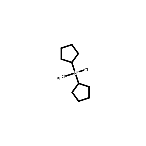 Cl[N+](Cl)(C1CCCC1)C1CCCC1.[Pt]